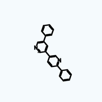 [c]1ncc(-c2ccccc2)cc1-c1ccc(-c2ccccc2)nc1